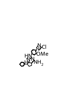 COc1cc(NC2=NC(N)=C3CCC(c4ccccc4)[C@@H]3N2C)ccc1-n1cnc(Cl)c1